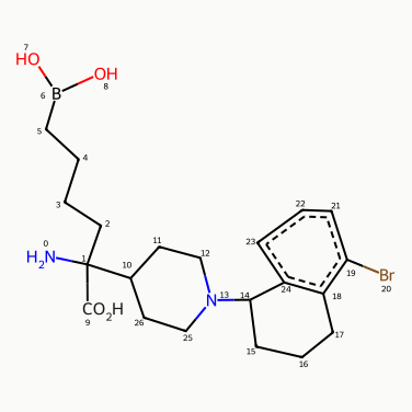 NC(CCCCB(O)O)(C(=O)O)C1CCN(C2CCCc3c(Br)cccc32)CC1